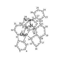 O=P(c1ccccc1)(c1ccccc1)c1cccc2ccc3c4ccccc4c4nc5ccccc5n4c3c12